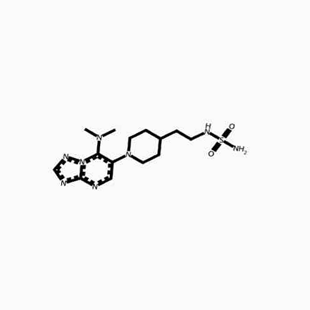 CN(C)c1c(N2CCC(CCNS(N)(=O)=O)CC2)cnc2ncnn12